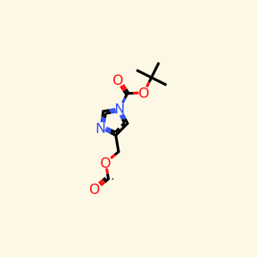 CC(C)(C)OC(=O)n1cnc(CO[C]=O)c1